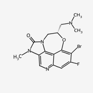 CN(C)C[C@H]1Cn2c(=O)n(C)c3cnc4cc(F)c(Br)c(c4c32)O1